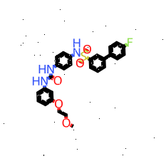 COCCOc1cccc(NC(=O)Nc2ccc(NS(=O)(=O)c3cccc(-c4ccc(F)cc4)c3)cc2)c1